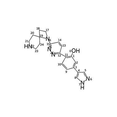 Oc1cc(-c2cn[nH]c2)ccc1-c1ccc(N2CCC23CCNCC3)nn1